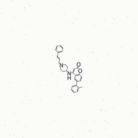 Cc1ccccc1-c1ccc2oc(=O)cc(NC3CCN(C/C=C/c4ccccc4)CC3)c2c1